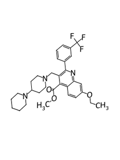 CCOc1ccc2c(C(=O)OC)c(CN3CCC(N4CCCCC4)CC3)c(-c3cccc(C(F)(F)F)c3)nc2c1